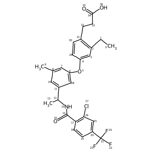 CCc1cc(Oc2cc(C)cc(C(C)NC(=O)c3ccc(C(F)(F)F)cc3Cl)c2)ccc1CCC(=O)O